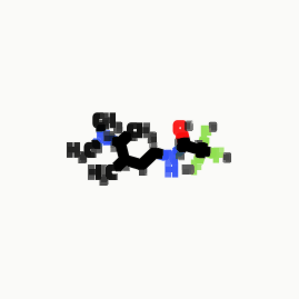 CC(CCNC(=O)C(F)(F)F)C(C)N(C)C